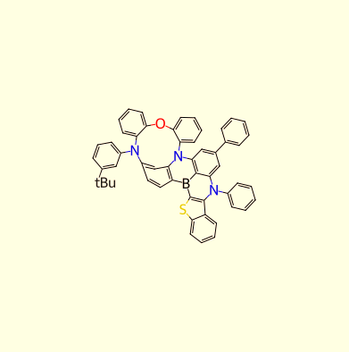 CC(C)(C)c1cccc(N2c3ccc4c(c3)N(c3ccccc3Oc3ccccc32)c2cc(-c3ccccc3)cc3c2B4c2sc4ccccc4c2N3c2ccccc2)c1